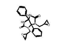 O=C1NC2(c3ccccc3)NC(=O)N(CC3CO3)C2(c2ccccc2)N1CC1CO1